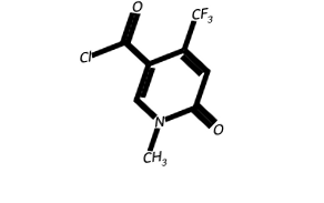 Cn1cc(C(=O)Cl)c(C(F)(F)F)cc1=O